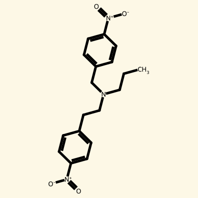 CCCN(CCc1ccc([N+](=O)[O-])cc1)Cc1ccc([N+](=O)[O-])cc1